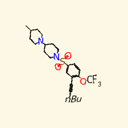 CCCCC#Cc1cc(S(=O)(=O)N2CCC(N3CCC(C)CC3)CC2)ccc1OC(F)(F)F